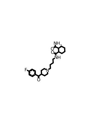 NC(=O)C1CCCCC1C(=O)NCCCCN1CCC(C(=O)c2ccc(F)cc2)CC1